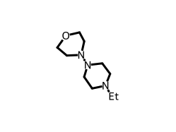 CCN1CCN(N2CCOCC2)CC1